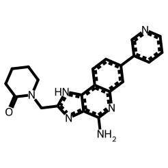 Nc1nc2cc(-c3cccnc3)ccc2c2[nH]c(CN3CCCCC3=O)nc12